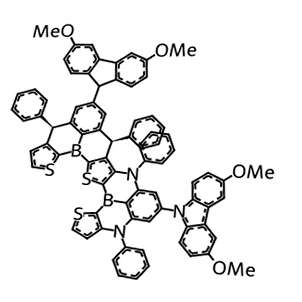 COc1ccc2c(c1)-c1cc(OC)ccc1C2c1cc2c3c(c1)[C@@H](c1ccccc1)c1c(sc4c1N(c1ccccc1)c1cc(-n5c6ccc(OC)cc6c6cc(OC)ccc65)cc5c1B4c1sccc1N5c1ccccc1)B3c1sccc1[C@H]2c1ccccc1